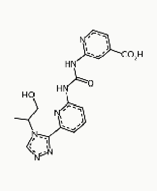 CC(CO)n1cnnc1-c1cccc(NC(=O)Nc2cc(C(=O)O)ccn2)n1